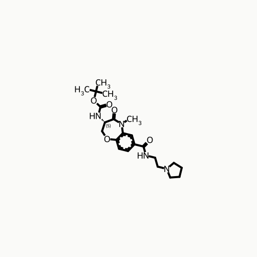 CN1C(=O)[C@@H](NC(=O)OC(C)(C)C)COc2ccc(C(=O)NCCN3CCCC3)cc21